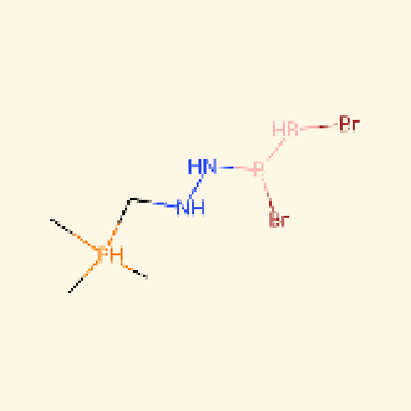 C[PH](C)(C)CNNB(Br)BBr